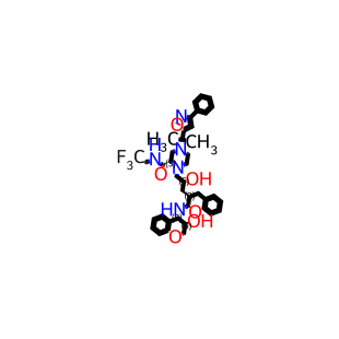 CC(C)(c1cc(-c2ccccc2)no1)N1CCN(C[C@@H](O)C[C@@H](Cc2ccccc2)C(=O)N[C@H]2c3ccccc3OC[C@H]2O)[C@H](C(=O)NCC(F)(F)F)C1